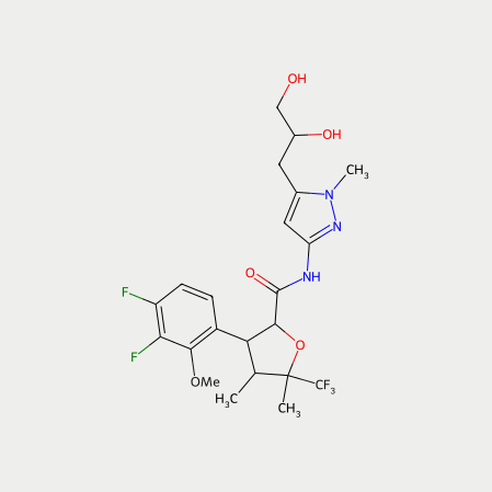 COc1c(C2C(C(=O)Nc3cc(CC(O)CO)n(C)n3)OC(C)(C(F)(F)F)C2C)ccc(F)c1F